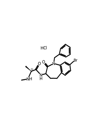 CN[C@@H](C)C(=O)NC1CCc2ccc(Br)cc2N(Cc2ccccc2)C1=O.Cl